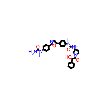 NC(=O)Nc1ccc(-c2ncc(-c3ccc(NC(=O)N[C@@H]4CCN(C(=O)[C@@H](O)c5ccccc5)C4)cc3)o2)cc1